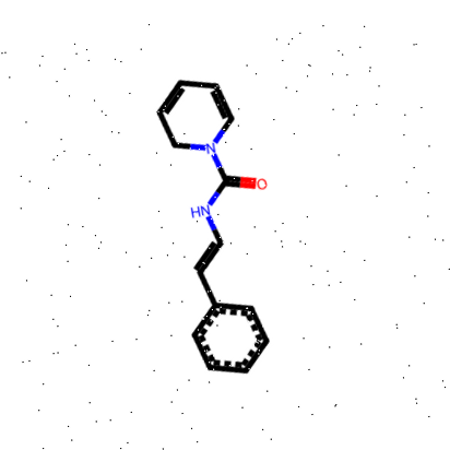 O=C(NC=Cc1ccccc1)N1C=CC=CC1